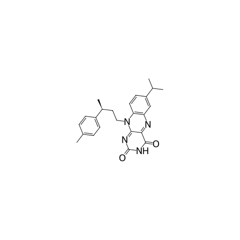 Cc1ccc([C@@H](C)CCn2c3nc(=O)[nH]c(=O)c-3nc3cc(C(C)C)ccc32)cc1